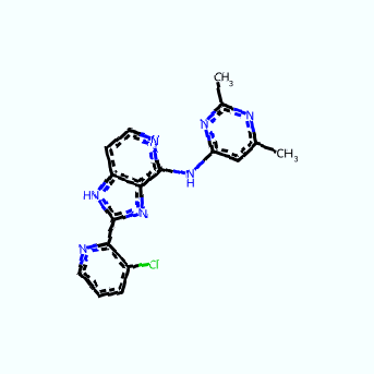 Cc1cc(Nc2nccc3[nH]c(-c4ncccc4Cl)nc23)nc(C)n1